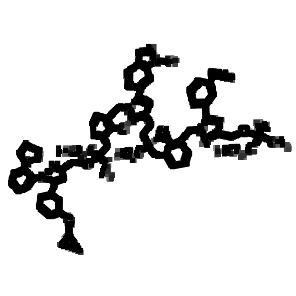 CCn1ncc2ccc(-c3cc(CC[C@@](CC)(Cc4cccc(Cn5nc(COC(C)(CC)C(=O)O)cc5-c5cccc(OC)c5)c4Cl)C(=O)O)nn3Cc3cccc(CC(C)(OCc4cc(-c5cccc(OC6CC6)c5)n(-c5ccccc5N5CCCC5)n4)C(=O)O)c3Cl)cc21